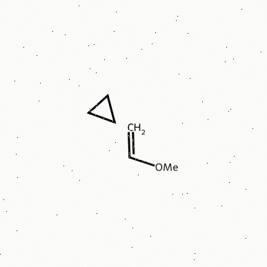 C1CC1.C=COC